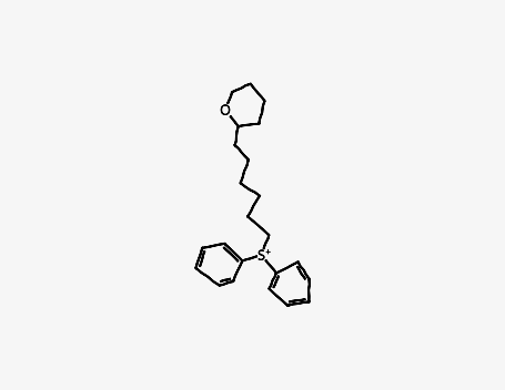 c1ccc([S+](CCCCCCC2CCCCO2)c2ccccc2)cc1